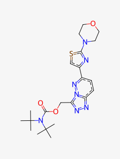 CC(C)(C)N(C(=O)OCc1nnc2ccc(-c3csc(N4CCOCC4)n3)nn12)C(C)(C)C